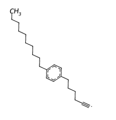 [C]#CCCCCc1ccc(CCCCCCCCCC)cc1